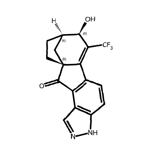 O=C1c2c(ccc3[nH]ncc23)C2=C(C(F)(F)F)[C@H](O)[C@@H]3CC[C@]12C3